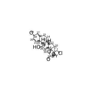 CC(C)C(=O)O[C@]1(C(=O)CCl)C(C)C[C@H]2[C@@H]3CCC4=CC(=O)C=C[C@]4(C)[C@@]3(F)C(O)C[C@@]21C